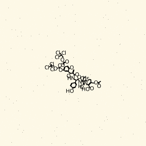 CO[C@@]1(NC(=O)C(NC(=O)c2coc3cc(OC(=O)OCC(Cl)(Cl)Cl)c(OC(=O)OCC(Cl)(Cl)Cl)cc3c2=O)c2ccc(O)cc2)C(=O)N2C(C(=O)O)=C(COC(C)=O)CS[C@H]21